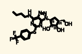 CCCCNc1nc(Sc2ccc(C(F)(F)F)cc2)nc2c1nnn2[C@@H]1C[C@H](CO)[C@@H](O)[C@H]1O